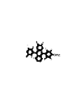 COc1c(F)c(F)c(-c2c3cc(F)c(F)cc3c(-c3c(F)c(F)cc(F)c3F)c3c(F)cccc23)c(F)c1F